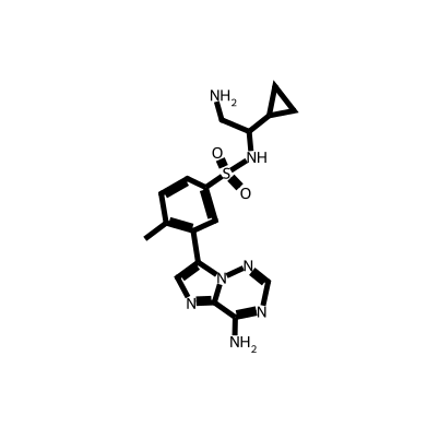 Cc1ccc(S(=O)(=O)NC(CN)C2CC2)cc1-c1cnc2c(N)ncnn12